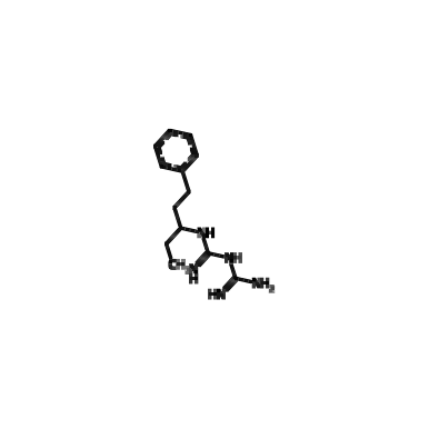 CCC(CCc1ccccc1)NC(=N)NC(=N)N